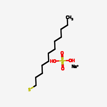 CCCCCCCCCCCC[S-].O=S(=O)(O)O.[Na+]